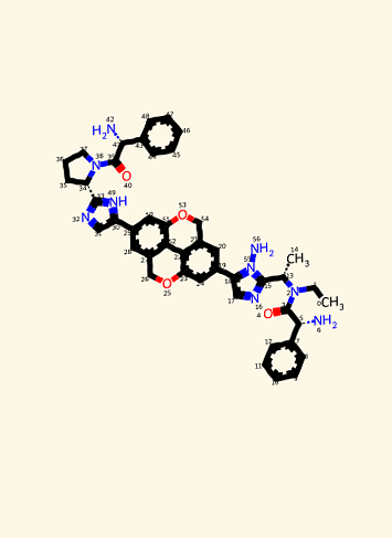 CCN(C(=O)[C@H](N)c1ccccc1)[C@@H](C)c1ncc(-c2cc3c4c(c2)OCc2cc(-c5cnc([C@@H]6CCCN6C(=O)[C@H](N)c6ccccc6)[nH]5)cc(c2-4)OC3)n1N